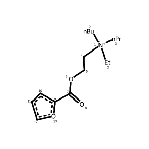 CCCC[N+](CC)(CCC)CCOC(=O)c1ccco1